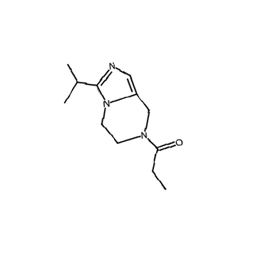 CCC(=O)N1CCn2c(cnc2C(C)C)C1